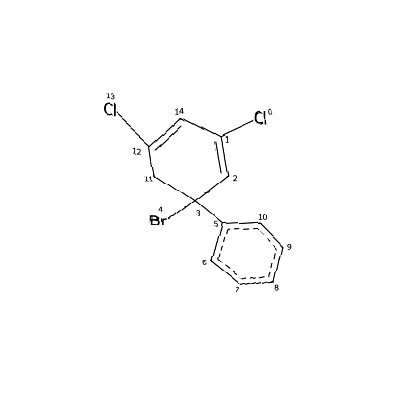 ClC1=CC(Br)(c2ccccc2)CC(Cl)=C1